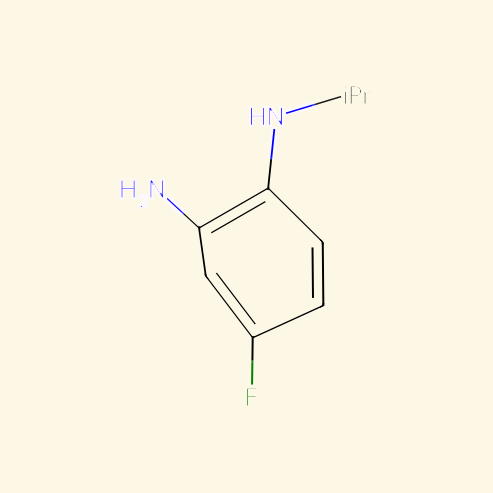 CC(C)Nc1ccc(F)cc1N